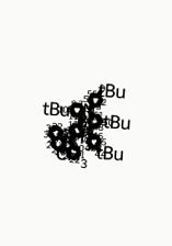 CC(C)(C)c1ccc(N2c3ccc(C(C)(C)C)cc3B3c4ccc(N5c6ccccc6C6(C)CCc7ccccc7C56C)cc4N(c4ccc(C(C)(C)C)cc4)c4cc(C(C)(C)C)cc2c43)cc1